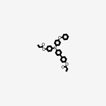 C=CC(=O)Oc1ccc(-c2ccc(N(c3ccc(OC(=O)C=C)cc3)c3ccc(Oc4ccccc4)cc3)cc2)cc1